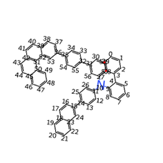 c1ccc(-c2ccccc2N(c2ccc(-c3ccc4ccccc4c3)cc2)c2cccc(-c3ccc(-c4ccc5ccc6ccc7ccccc7c6c5c4)cc3)c2)cc1